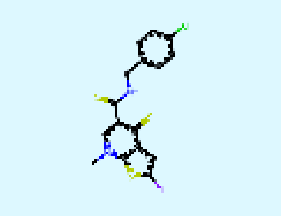 Cn1cc(C(=S)NCc2ccc(Cl)cc2)c(=S)c2cc(I)sc21